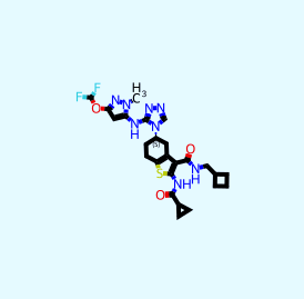 Cn1nc(OC(F)F)cc1Nc1nncn1[C@H]1CCc2sc(NC(=O)C3CC3)c(C(=O)NCC3CCC3)c2C1